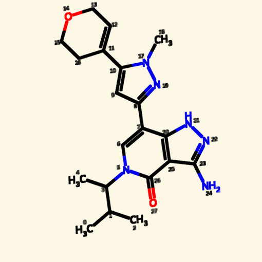 CC(C)C(C)n1cc(-c2cc(C3=CCOCC3)n(C)n2)c2[nH]nc(N)c2c1=O